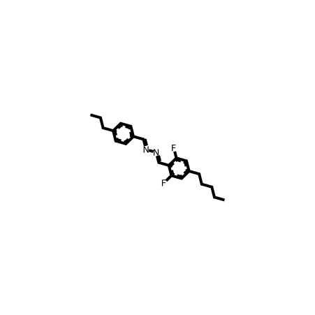 CCCCCc1cc(F)c(C=NN=Cc2ccc(CCC)cc2)c(F)c1